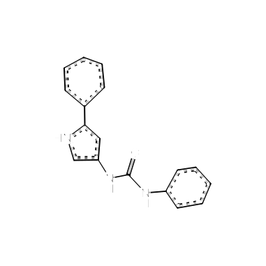 O=C(Nc1ccccc1)Nc1c[nH]c(-c2ccccc2)c1